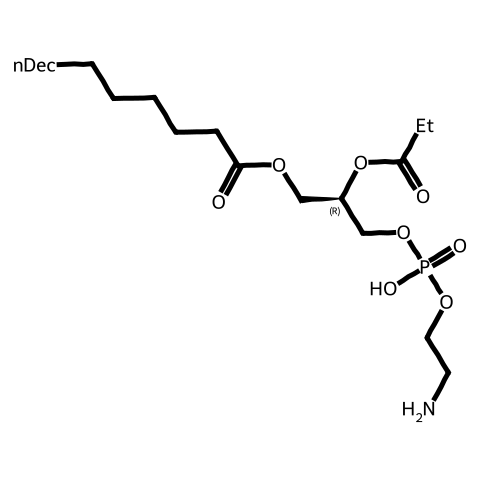 CCCCCCCCCCCCCCCC(=O)OC[C@H](COP(=O)(O)OCCN)OC(=O)CC